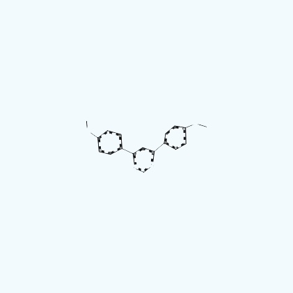 COc1ccc(-c2cc(-c3ccc(OC)cc3)ncn2)cc1